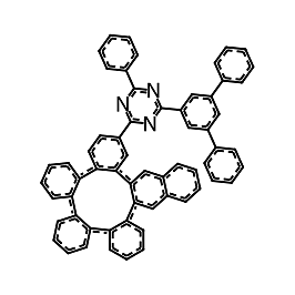 c1ccc(-c2cc(-c3ccccc3)cc(-c3nc(-c4ccccc4)nc(-c4ccc5c6ccccc6c6ccccc6c6ccccc6c6cc7ccccc7cc6c5c4)n3)c2)cc1